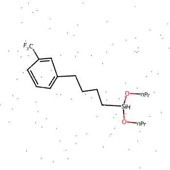 CCCO[SiH](CCCCc1cccc(C(F)(F)F)c1)OCCC